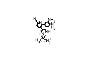 CC(C)(C)CN/C=C(\C=N)c1ccc(C#N)nc1-c1ccc(N)c(N)c1